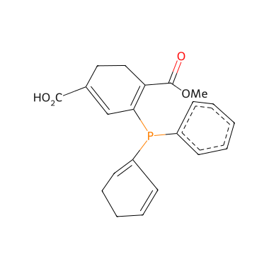 COC(=O)C1=C(P(C2=CCCC=C2)c2ccccc2)C=C(C(=O)O)CC1